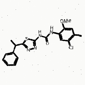 COc1cc(C)c(Cl)cc1NC(=O)Nc1nnc(C(C)c2ccccc2)s1